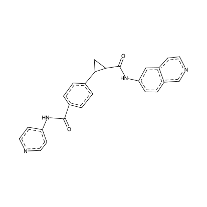 O=C(Nc1ccncc1)c1ccc(C2CC2C(=O)Nc2ccc3cnccc3c2)cc1